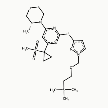 C[C@@H]1COCCN1c1cc(C2(S(C)(=O)=O)CC2)nc(Sc2ccn(COCC[Si](C)(C)C)n2)n1